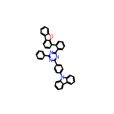 c1ccc(-c2nc(-c3ccc(-n4c5ccccc5c5ccccc54)cc3)nc(-c3ccccc3-c3cccc4c3oc3ccccc34)n2)cc1